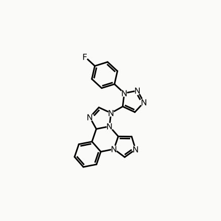 Fc1ccc(-n2nncc2N2C=NC3c4ccccc4-n4cncc4N32)cc1